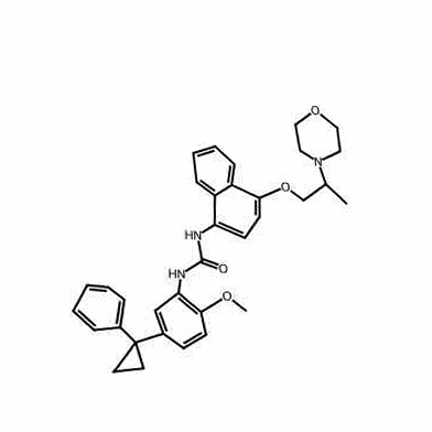 COc1ccc(C2(c3ccccc3)CC2)cc1NC(=O)Nc1ccc(OCC(C)N2CCOCC2)c2ccccc12